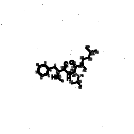 CN[C@@H](Cc1ccccc1)C(=O)N[C@@H](CC(C)C)C(=O)N(C)CCC(C)C